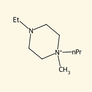 CCC[N+]1(C)CCN(CC)CC1